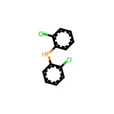 Clc1ccccc1Pc1ccccc1Cl